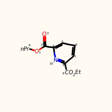 CCCOC(=O)c1cccc(C(=O)OCC)n1